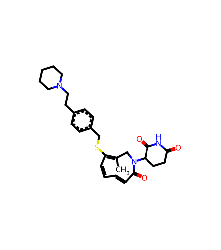 C\C1=C(SCc2ccc(CCN3CCCCC3)cc2)/C=C\C=C\C(=O)N(C2CCC(=O)NC2=O)C1